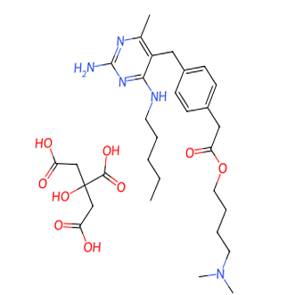 CCCCCNc1nc(N)nc(C)c1Cc1ccc(CC(=O)OCCCCN(C)C)cc1.O=C(O)CC(O)(CC(=O)O)C(=O)O